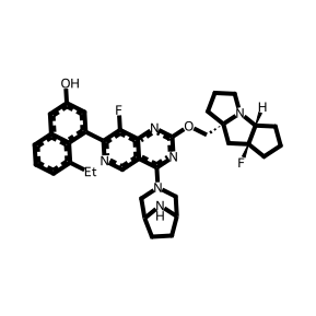 CCc1cccc2cc(O)cc(-c3ncc4c(N5CC6CCC(C5)N6)nc(OC[C@]56CCCN5[C@@H]5CCC[C@]5(F)C6)nc4c3F)c12